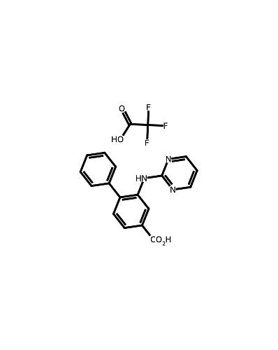 O=C(O)C(F)(F)F.O=C(O)c1ccc(-c2ccccc2)c(Nc2ncccn2)c1